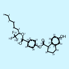 CCCCCC[C@@H](OC(=O)c1ccc(OC(=O)C2CCCc3cc(O)ccc32)cc1)C(F)(F)F